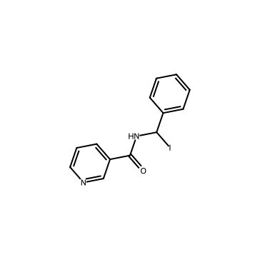 O=C(NC(I)c1ccccc1)c1cccnc1